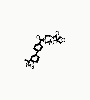 Cc1nn(C)c2ccc(-c3ccc(C(=O)N4CCN(C(=O)C5(O)COC5)CC4)cc3)cc12